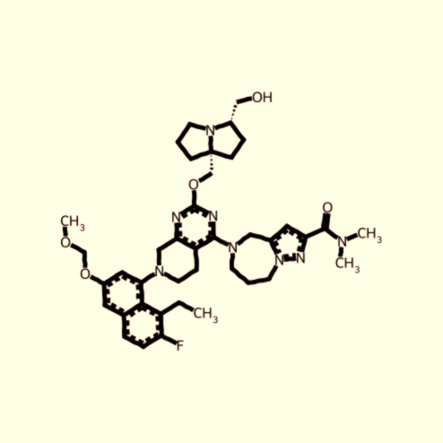 CCc1c(F)ccc2cc(OCOC)cc(N3CCc4c(nc(OC[C@]56CCCN5[C@H](CO)CC6)nc4N4CCCn5nc(C(=O)N(C)C)cc5C4)C3)c12